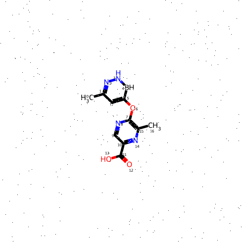 CC1=NNBC(Oc2ncc(C(=O)O)nc2C)=C1